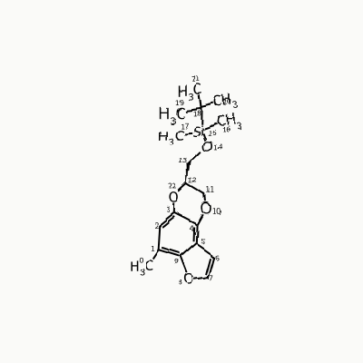 Cc1cc2c(c3ccoc13)OC[C@H](CO[Si](C)(C)C(C)(C)C)O2